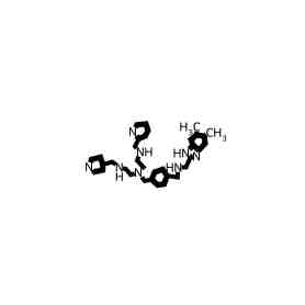 Cc1cc2nc(CNCc3ccc(CN(CCNCc4ccncc4)CCNCc4ccccn4)cc3)[nH]c2cc1C